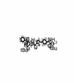 CC(C)(C)OC(=O)C(CNC(=O)c1ccc(-c2ccc(C(N)C(=O)OC(C)(C)C)cc2)s1)NS(=O)(=O)c1ccccc1